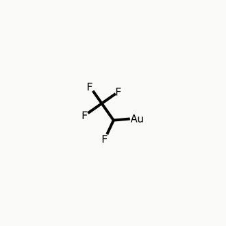 F[CH]([Au])C(F)(F)F